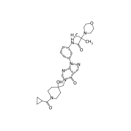 CC(C)(C(=O)Nc1cccc(-n2ncc3c(=O)n(CC4(O)CCN(C(=O)C5CC5)CC4)cnc32)c1)N1CCOCC1